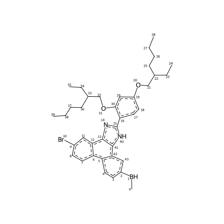 CBc1ccc2c3ccc(Br)cc3c3nc(-c4ccc(OCC(CC)CCCC)cc4OCC(CC)CCCC)[nH]c3c2c1